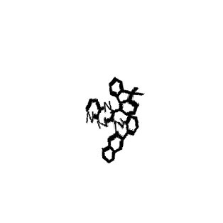 CC1(C)c2ccccc2-c2c(-c3nc4cccnc4nc3-n3c4ccccc4c4cc5ccccc5cc43)cccc21